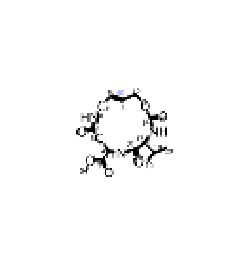 COC(=O)[C@@H]1CC(=O)NC/C=C/COC(=O)N[C@@H](C(C)C)C(=O)N1